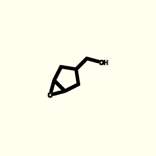 OCC1CC2OC2C1